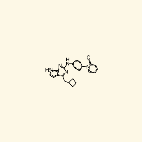 O=c1ccccn1-c1ccc(Nc2nc(CC3CCC3)c3cc[nH]c3n2)cc1